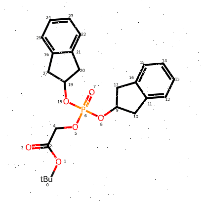 CC(C)(C)OC(=O)COP(=O)(OC1Cc2ccccc2C1)OC1Cc2ccccc2C1